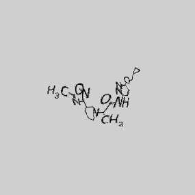 Cc1nc(C2CCCN([C@@H](C)C(=O)Nc3ccc(OCC4CC4)nn3)C2)no1